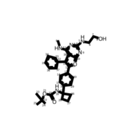 CNc1nc(NCCO)nc2oc(-c3ccc(C4(NC(=O)OC(C)(C)C)CCC4)cc3)c(-c3ccccc3)c12